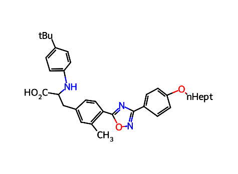 CCCCCCCOc1ccc(-c2noc(-c3ccc(CC(Nc4ccc(C(C)(C)C)cc4)C(=O)O)cc3C)n2)cc1